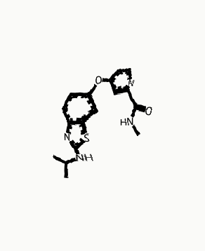 CNC(=O)c1cc(Oc2ccc3nc(NC(C)C)sc3c2)ccn1